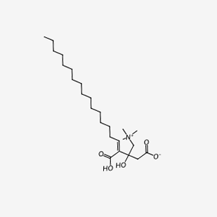 CCCCCCCCCCCCCCCC=C(C(=O)O)C(O)(CC(=O)[O-])C[N+](C)(C)C